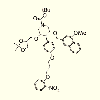 COc1cc(CO[C@H]2CN(C(=O)OC(C)(C)C)C[C@@H](OC[C@H]3COC(C)(C)O3)[C@@H]2c2ccc(OCCCOc3ccccc3[N+](=O)[O-])cc2)cc2ccccc12